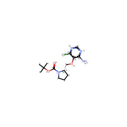 CC(C)(C)OC(=O)N1CCC[C@H]1COc1c(N)ncnc1Cl